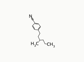 CCCC(C)CCc1ccc(C#N)cc1